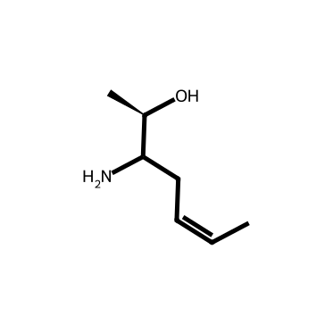 C/C=C\CC(N)[C@@H](C)O